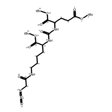 CC(C)(C)OC(=O)CCC(NC(=O)NC(CCCCNC(=O)CN=[N+]=[N-])C(=O)OC(C)(C)C)C(=O)OC(C)(C)C